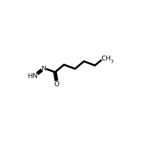 CCCCCC(=O)N=N